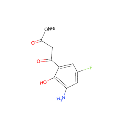 COC(=O)CC(=O)c1cc(F)cc(N)c1O